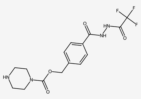 O=C(NNC(=O)C(F)(F)F)c1ccc(COC(=O)N2CCNCC2)cc1